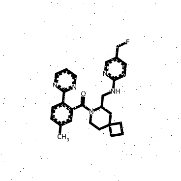 Cc1ccc(-c2ncccn2)c(C(=O)N2CCC3(CCC3)CC2CNc2ccc(CF)cn2)c1